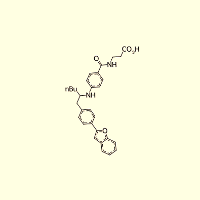 CCCCC(Cc1ccc(-c2cc3ccccc3o2)cc1)Nc1ccc(C(=O)NCCC(=O)O)cc1